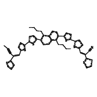 CC#C/C(=C\c1ccc(-c2ccc(-c3ccc4c(CCCC)c(-c5ccc(-c6ccc(/C=C(\C#N)c7cccs7)s6)s5)ccc4c3CCCC)s2)s1)c1cccs1